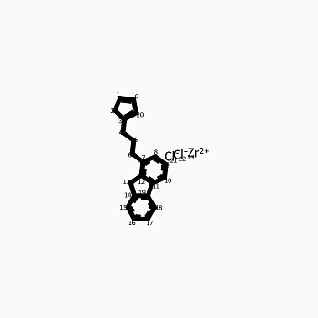 C1=CCC(CCCc2cccc3c2Cc2ccccc2-3)=C1.[Cl-].[Cl-].[Zr+2]